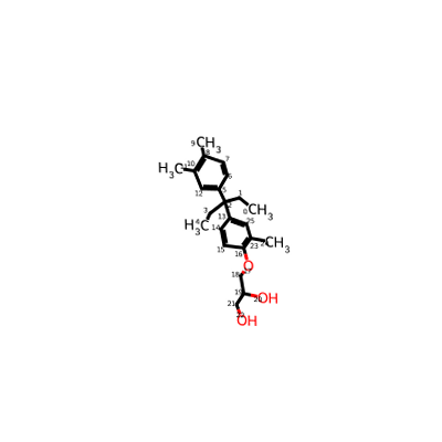 CCC(CC)(c1ccc(C)c(C)c1)c1ccc(OCC(O)CO)c(C)c1